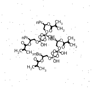 C=C(C)C(=O)OC(CCC)COP(=O)(O)OP(=O)(O)OCC(CCC)OC(=O)C(=C)C.C=C(C)C(=O)OC(CCCC)COP(=O)(O)OP(=O)(O)OCC(CCCC)OC(=O)C(=C)C